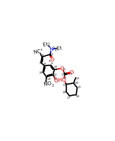 CCN(CC)C(=O)C(C#N)=Cc1cc(OC(=O)OC2CCCCC2C)c(O)c([N+](=O)[O-])c1